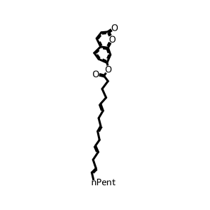 CCCCCC=CCC=CCC=CCC=CCCCC(=O)Oc1ccc2ccc(=O)oc2c1